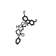 CC(O)(CN1CCCN(c2ccccc2)C1=O)Cn1c2ccc(F)cc2c2cc(F)ccc21